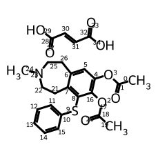 CC(=O)Oc1cc2c(c(Sc3ccccc3)c1OC(C)=O)CCN(C)CC2.O=C(O)/C=C/C(=O)O